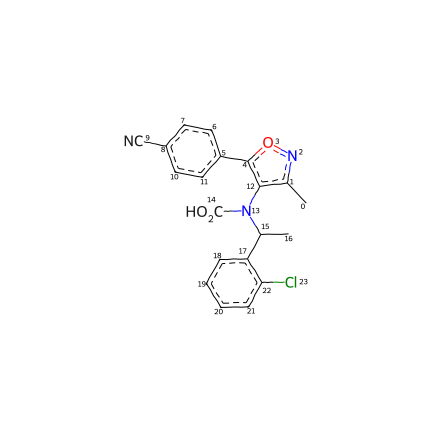 Cc1noc(-c2ccc(C#N)cc2)c1N(C(=O)O)C(C)c1ccccc1Cl